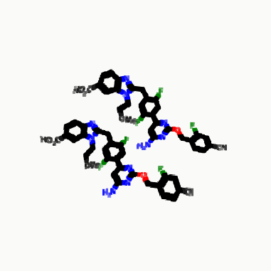 COCCn1c(Cc2cc(F)c(-c3cc(N)nc(OCc4ccc(C#N)cc4F)n3)cc2F)nc2ccc(C(=O)O)cc21.COCCn1c(Cc2cc(F)c(-c3cc(N)nc(OCc4ccc(C#N)cc4F)n3)cc2F)nc2ccc(C(=O)O)cc21